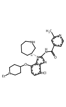 CCN1CCC(Oc2cccc3nc(NC(=O)c4ccnc(C)c4)n([C@@H]4CCCCNC4)c23)CC1.Cl